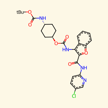 CC(C)(C)OC(=O)N[C@H]1CC[C@H](OC(=O)Nc2c(C(=O)Nc3ccc(Cl)cn3)oc3ccccc23)CC1